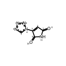 O=C1C=C(n2cnnn2)C(=O)N1